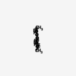 CCCc1ccc(-c2ccc(C(=O)OC3CCC(C4CCC(c5ccc(OCC)c(F)c5F)CC4)CC3)c(F)c2F)c(F)c1F